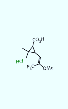 COC(=CC1C(C(=O)O)C1(C)C)C(F)(F)F.Cl